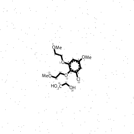 COCCOc1cc(OC)cc(Cl)c1OCCOC.O=C(O)CO